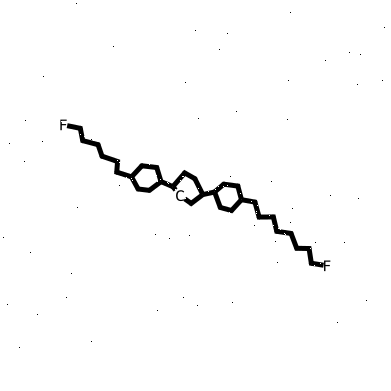 FCCCCCCCCC1CCC(C2CCC(C3CCC(CCCCCCF)CC3)CC2)CC1